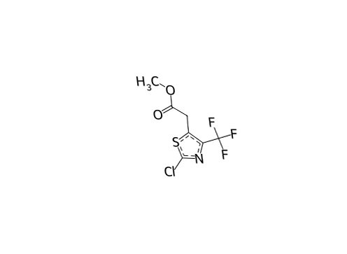 COC(=O)Cc1sc(Cl)nc1C(F)(F)F